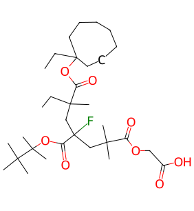 CCC1(OC(=O)C(C)(CC)CC(F)(CC(C)(C)C(=O)OCC(=O)O)C(=O)OC(C)(C)C(C)(C)C)CCCCCCC1